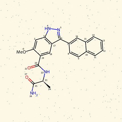 COc1cc2[nH]nc(-c3ccc4ccccc4c3)c2cc1C(=O)N[C@@H](C)C(N)=O